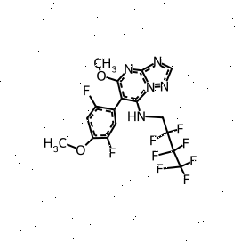 COc1cc(F)c(-c2c(OC)nc3ncnn3c2NCC(F)(F)C(F)(F)C(F)(F)F)cc1F